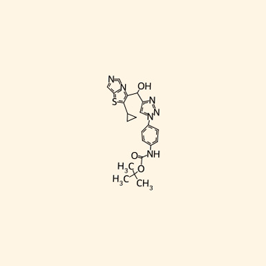 CC(C)(C)OC(=O)Nc1ccc(-n2cc(C(O)c3c(C4CC4)sc4cncn34)nn2)cc1